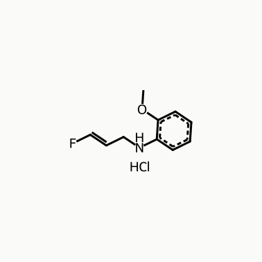 COc1ccccc1NCC=CF.Cl